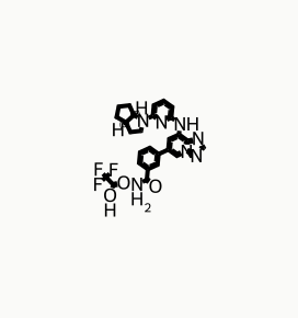 NC(=O)c1cccc(-c2cc(Nc3cccc(N4CC[C@@H]5CCC[C@@H]54)n3)c3ncnn3c2)c1.O=C(O)C(F)(F)F